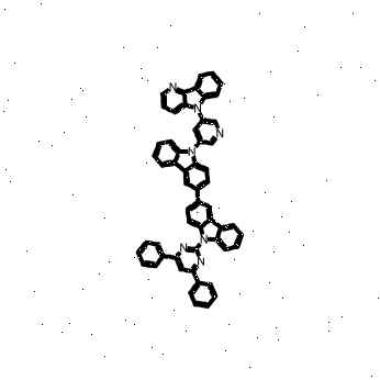 c1ccc(-c2cc(-c3ccccc3)nc(-n3c4ccccc4c4cc(-c5ccc6c(c5)c5ccccc5n6-c5cncc(-n6c7ccccc7c7ncccc76)c5)ccc43)n2)cc1